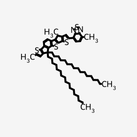 CCCCCCCCCCCCCCCCCC1(CCCCCCCCCCCCCCCCC)c2cc(C)sc2-c2ccc3c4c(sc3c21)-c1sc(-c2ccc(C)c3nsnc23)cc1C4C